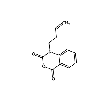 C=CCCn1c(=O)oc(=O)c2ccccc21